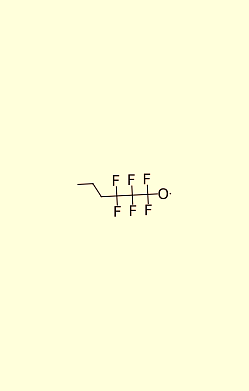 CCCC(F)(F)C(F)(F)C([O])(F)F